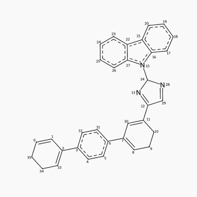 C1=CC(c2ccc(C3=CCCC(C4=NC(n5c6ccccc6c6ccccc65)N=C4)=C3)cc2)=CCC1